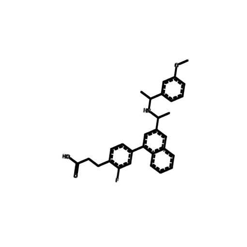 COc1cccc(C(C)NC(C)c2cc(-c3ccc(CCC(=O)O)c(F)c3)c3ccccc3c2)c1